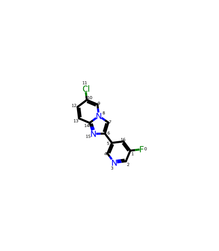 Fc1cncc(-c2cn3cc(Cl)ccc3n2)c1